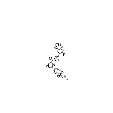 COc1ccc(F)c(/C=N/NC(=O)c2cncc(-c3ccc(S(N)(=O)=O)nc3)n2)c1